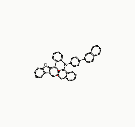 c1ccc(N(c2ccc(-c3ccc4ccccc4c3)cc2)c2cccc3ccccc23)c(-c2cccc3c2oc2ccccc23)c1